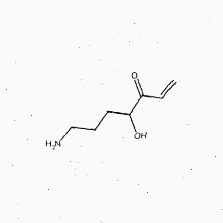 C=CC(=O)C(O)CCCN